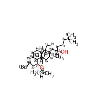 C=C(C)CCC[C@](C)(O)[C@H]1CC[C@H]2[C@@H]3CC=C4C[C@H](C(C)(C)C)CC(O[SiH](C)C)[C@]4(C)[C@H]3CC[C@@]21C